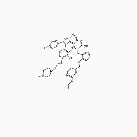 CCOc1nccc(COc2ccccc2CC(Nc2ncnc3sc(-c4ccc(F)cc4)c(-c4ccc(OCCN5CCN(C)CC5)c(Cl)c4C)c23)C(=O)O)n1